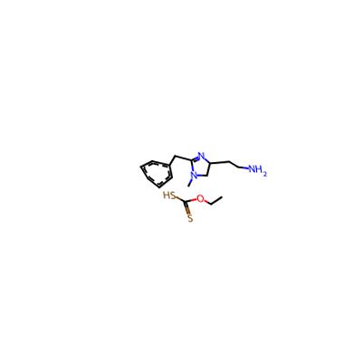 CCOC(=S)S.CN1CC(CCN)N=C1Cc1ccccc1